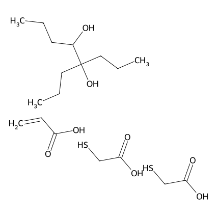 C=CC(=O)O.CCCC(O)C(O)(CCC)CCC.O=C(O)CS.O=C(O)CS